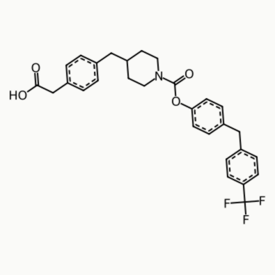 O=C(O)Cc1ccc(CC2CCN(C(=O)Oc3ccc(Cc4ccc(C(F)(F)F)cc4)cc3)CC2)cc1